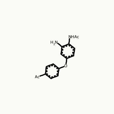 CC(=O)Nc1ccc(Oc2ccc(C(C)=O)cc2)cc1N